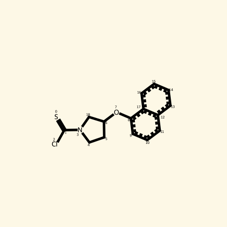 S=C(Cl)N1CCC(Oc2cccc3ccccc23)C1